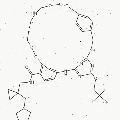 O=C(NCC1(CN2CCCC2)CC1)c1ccc2cc1OCCCCNCCCOc1ccc(cc1)CNc1nc(nc(OCC(F)(F)F)n1)N2